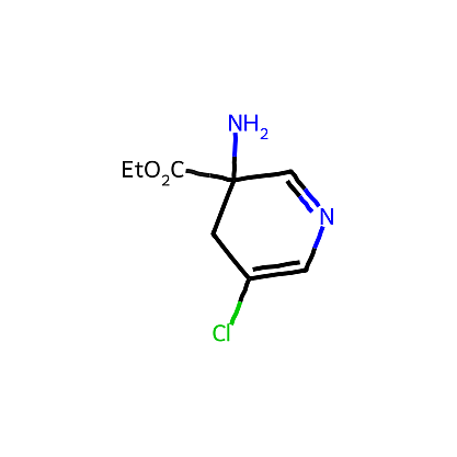 CCOC(=O)C1(N)C=NC=C(Cl)C1